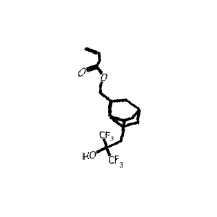 C=CC(=O)OCC1CC2CCC1C(CC(O)(C(F)(F)F)C(F)(F)F)C2